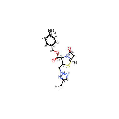 Cc1cnn(CC2S[C@@H]3CC(=O)N3C2C(=O)OCc2ccc([N+](=O)[O-])cc2)n1